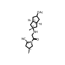 CC(=O)OC1C[C@@H]2C[C@@](C)(NCC(=O)N3C[C@@H](F)C[C@H]3C#N)C[C@@H]2C1